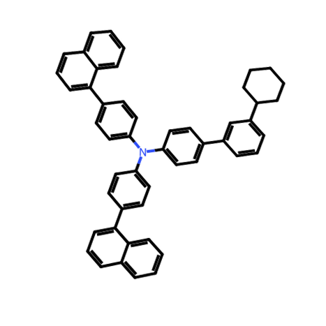 c1cc(-c2ccc(N(c3ccc(-c4cccc5ccccc45)cc3)c3ccc(-c4cccc5ccccc45)cc3)cc2)cc(C2CCCCC2)c1